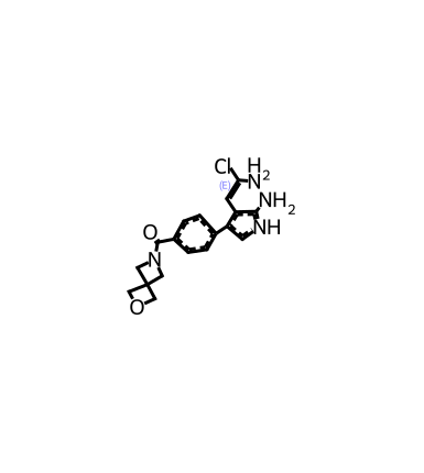 N/C(Cl)=C\c1c(-c2ccc(C(=O)N3CC4(COC4)C3)cc2)c[nH]c1N